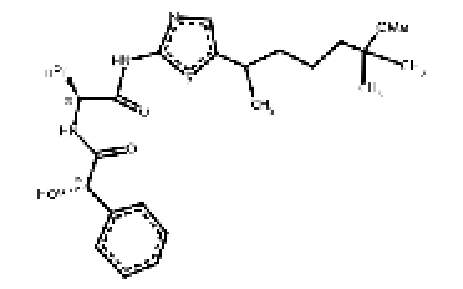 CCC[C@H](NC(=O)[C@@H](O)c1ccccc1)C(=O)Nc1ncc(C(C)CCCC(C)(C)OC)s1